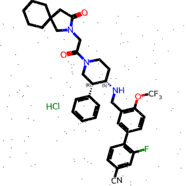 Cl.N#Cc1ccc(-c2ccc(OC(F)(F)F)c(CN[C@H]3CCN(C(=O)CN4CC5(CCCCC5)CC4=O)C[C@H]3c3ccccc3)c2)c(F)c1